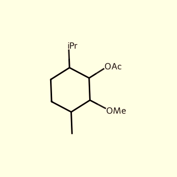 COC1C(C)CCC(C(C)C)C1OC(C)=O